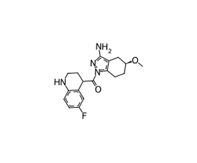 CO[C@H]1CCc2c(c(N)nn2C(=O)C2CCNc3ccc(F)cc32)C1